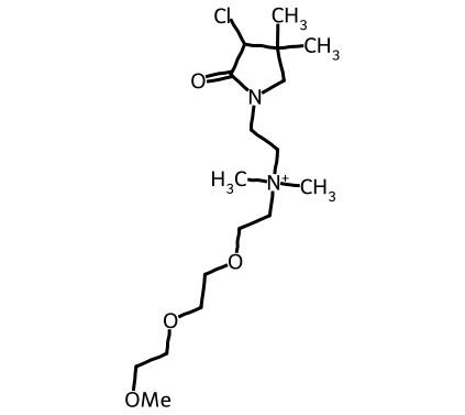 COCCOCCOCC[N+](C)(C)CCN1CC(C)(C)C(Cl)C1=O